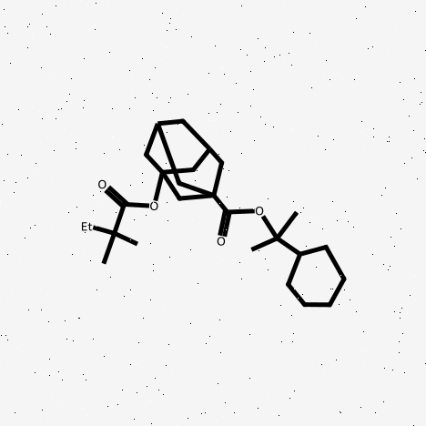 CCC(C)(C)C(=O)OC12CC3CC(C1)CC(C(=O)OC(C)(C)C1CCCCC1)(C3)C2